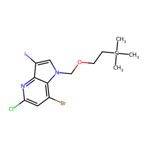 C[Si](C)(C)CCOCn1cc(I)c2nc(Cl)cc(Br)c21